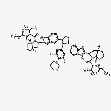 COC(=O)N[C@H](C(=O)N1C(c2nc3cc([C@H]4CC[C@H](c5ccc6[nH]c(C7C[C@@H]8CCC[C@@H]8N7C(=O)[C@@H](NC(=O)OC)C(C)C)nc6c5)N4c4cc(F)c(N5CCCCC5)c(F)c4)ccc3[nH]2)C[C@@H]2CCC[C@@H]21)C(C)C